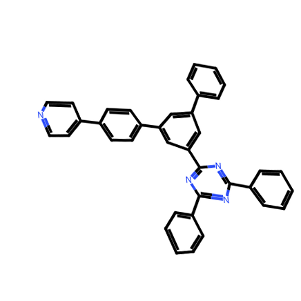 c1ccc(-c2cc(-c3ccc(-c4ccncc4)cc3)cc(-c3nc(-c4ccccc4)nc(-c4ccccc4)n3)c2)cc1